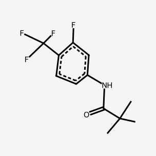 CC(C)(C)C(=O)Nc1ccc(C(F)(F)F)c(F)c1